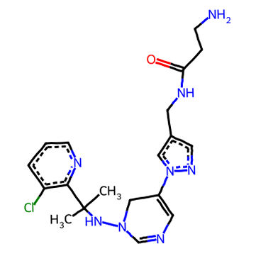 CC(C)(NN1C=NC=C(n2cc(CNC(=O)CCN)cn2)C1)c1ncccc1Cl